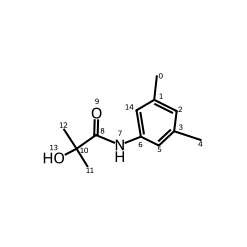 Cc1cc(C)cc(NC(=O)C(C)(C)O)c1